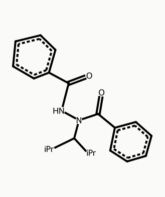 CC(C)C(C(C)C)N(NC(=O)c1ccccc1)C(=O)c1ccccc1